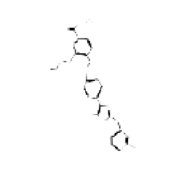 COC(=O)c1ccc(COc2ccc(-c3nc(Cc4cccc(Cl)c4)oc3C)cc2)c(COCC(=O)O)c1